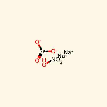 O=[N+]([O-])O.O=[Se]([O-])[O-].[Na+].[Na+]